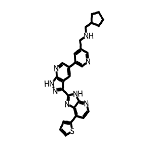 c1csc(-c2ccnc3[nH]c(-c4n[nH]c5ncc(-c6cncc(CNCC7CCCC7)c6)cc45)nc23)c1